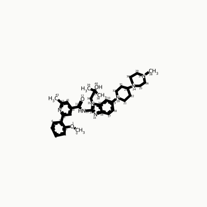 COc1ccccc1-c1cc(C(=O)Nc2nc3ccc(N4CCC(N5CCN(C)CC5)CC4)cc3n2CC(C)(C)O)cc(C)n1